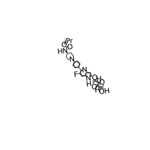 CC(C)OC(=O)NC1CCN(c2ccc(-c3nc4cc(O[C@@H]5CO[C@H]6[C@@H]5OC[C@H]6O)[nH]c4cc3F)cc2)CC1